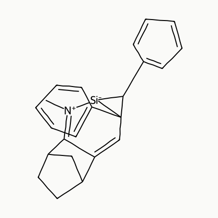 C[N+]1=C2C(=CC3(c4ccccc4)C(c4ccccc4)[Si-]13)C1CCC2C1